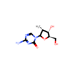 C[C@H]1C(n2cnc(N)nc2=O)O[C@H](CO)[C@H]1O